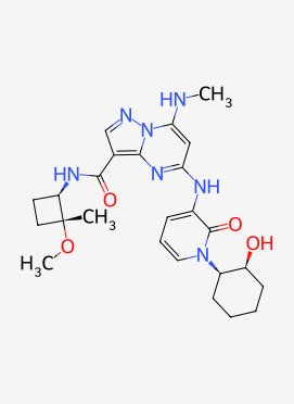 CNc1cc(Nc2cccn([C@@H]3CCCC[C@@H]3O)c2=O)nc2c(C(=O)N[C@@H]3CC[C@@]3(C)OC)cnn12